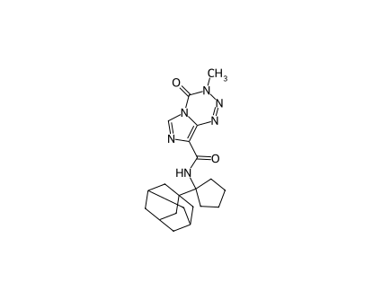 Cn1nnc2c(C(=O)NC3(C45CC6CC(CC(C6)C4)C5)CCCC3)ncn2c1=O